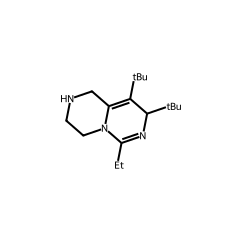 CCC1=NC(C(C)(C)C)C(C(C)(C)C)=C2CNCCN12